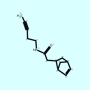 CC#CCCNC(=O)CC1CC2C=CC1C2